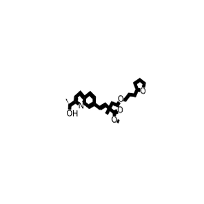 COC(=O)C(C)(/C=C/c1ccc2ccc([C@@H](C)O)nc2c1)CCOCCCC1CCCO1